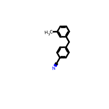 Cc1cccc(Cc2ccc(C#N)cc2)c1